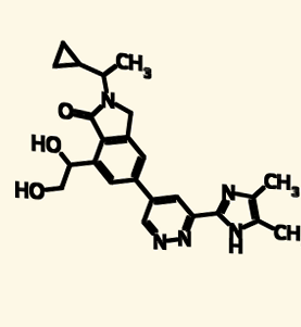 Cc1nc(-c2cc(-c3cc4c(c(C(O)CO)c3)C(=O)N(C(C)C3CC3)C4)cnn2)[nH]c1C